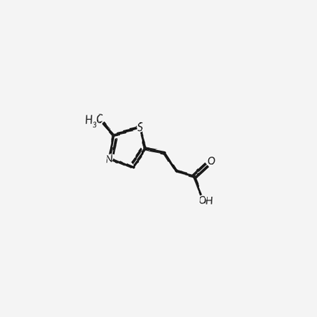 Cc1ncc(CCC(=O)O)s1